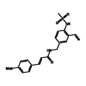 C=Cc1cc(CNC(=O)/C=C/c2ccc(SC)cc2)ccc1NS(C)(=O)=O